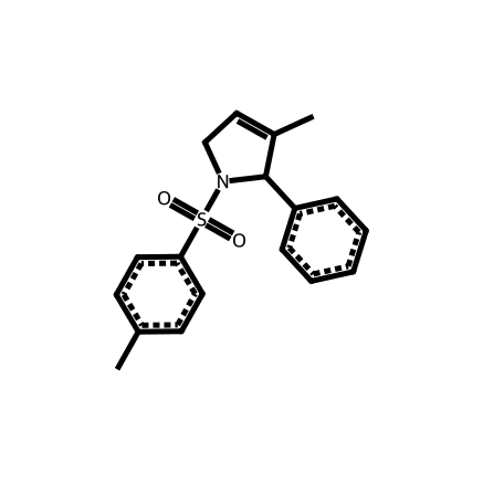 CC1=CCN(S(=O)(=O)c2ccc(C)cc2)C1c1ccccc1